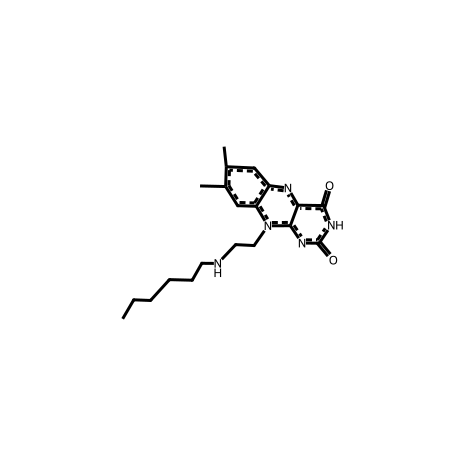 CCCCCCNCCn1c2nc(=O)[nH]c(=O)c-2nc2cc(C)c(C)cc21